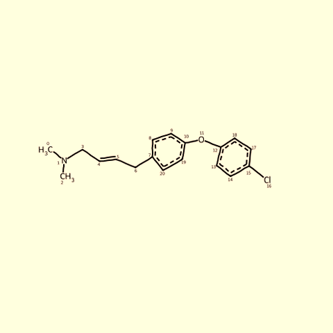 CN(C)CC=CCc1ccc(Oc2ccc(Cl)cc2)cc1